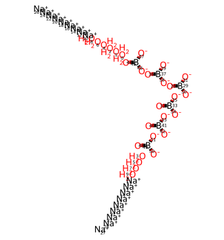 O.O.O.O.O.O.O.O.O.O.[Na+].[Na+].[Na+].[Na+].[Na+].[Na+].[Na+].[Na+].[Na+].[Na+].[Na+].[Na+].[Na+].[Na+].[Na+].[Na+].[Na+].[Na+].[O-]B([O-])[O-].[O-]B([O-])[O-].[O-]B([O-])[O-].[O-]B([O-])[O-].[O-]B([O-])[O-].[O-]B([O-])[O-]